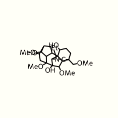 CCN1CC2(COC)CCC(O)C34C5CC6C(OC)CC(OC)(C5C6O)C(O)(C(OC)C23)C14